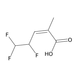 CC(=CC(F)C(F)F)C(=O)O